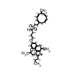 C=C1/C=C\C=C/C/C(CCS(=O)(=O)NCCCOc2ccc3c(c2)nc(N)c2nc(CCC)n(CC(C)C)c23)=C\C=C/1